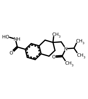 CC(=O)N(CC1(C)CCc2ccc(C(=O)NO)cc2C1)C(C)C